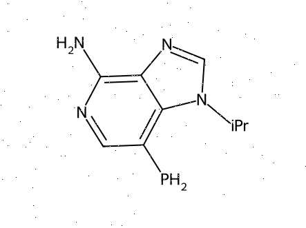 CC(C)n1cnc2c(N)ncc(P)c21